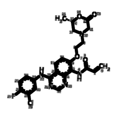 C=CC(=O)Nc1c(OCCN2CC(=O)O[C@@H](C)C2)ccc2c(Nc3ccc(F)c(Cl)c3)ncnc12